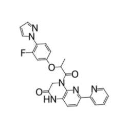 CC(Oc1ccc(-n2cccn2)c(F)c1)C(=O)N1CC(=O)Nc2ccc(-c3ccccn3)nc21